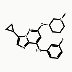 CN1CCC[C@@H](Oc2cc(Nc3cccc(F)c3)c3ncc(C4CC4)n3n2)C1